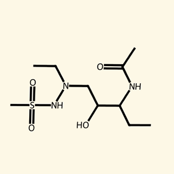 CCC(NC(C)=O)C(O)CN(CC)NS(C)(=O)=O